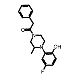 CC1CN(C(=O)Cc2ccccc2)CCN1c1cc(F)ccc1O